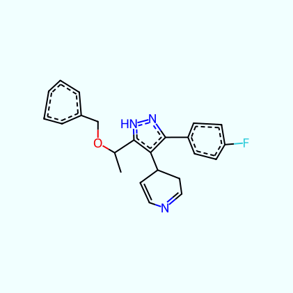 CC(OCc1ccccc1)c1[nH]nc(-c2ccc(F)cc2)c1C1C=CN=CC1